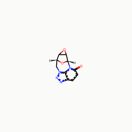 O=c1ccc2nnn3c2n1[C@@H]1O[C@H](C3)C2OC21